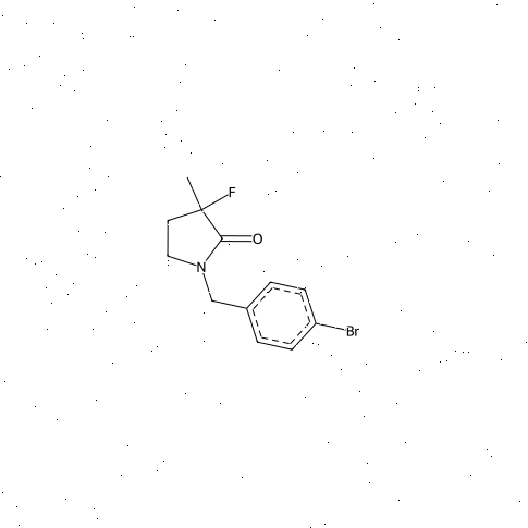 CC1(F)CCN(Cc2ccc(Br)cc2)C1=O